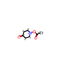 CCC(=O)ON1CCC(=O)CC1